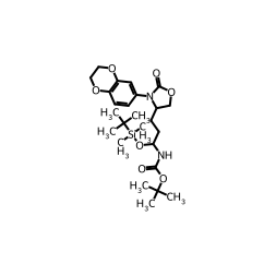 CC(C)(C)OC(=O)NC(CCC1COC(=O)N1c1ccc2c(c1)OCCO2)O[Si](C)(C)C(C)(C)C